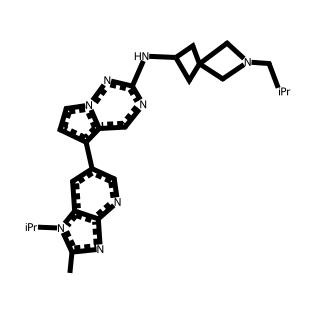 Cc1nc2ncc(-c3ccn4nc(NC5CC6(C5)CN(CC(C)C)C6)ncc34)cc2n1C(C)C